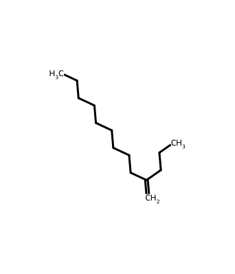 C=C(CCC)CCCCCCCCC